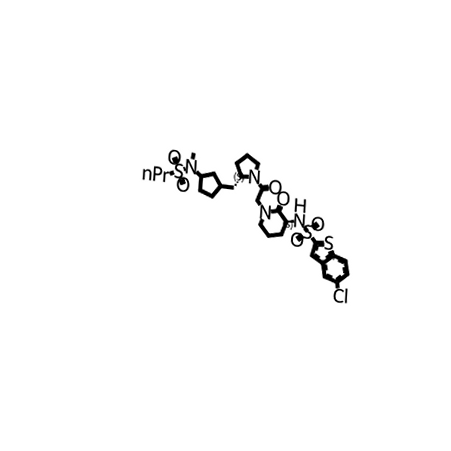 CCCS(=O)(=O)N(C)C1CCC(C[C@@H]2CCCN2C(=O)CN2CCC[C@H](NS(=O)(=O)c3cc4cc(Cl)ccc4s3)C2=O)C1